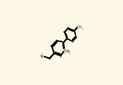 Br.Cc1ccc(-c2ccc(CBr)cn2)cc1